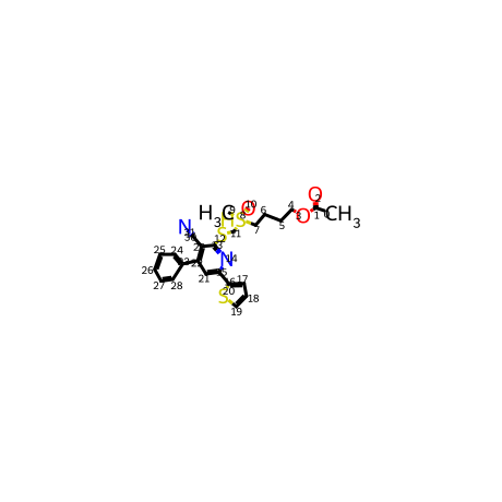 CC(=O)OCCCC[SH](C)(=O)CSc1nc(-c2cccs2)cc(-c2ccccc2)c1C#N